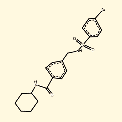 O=C(NC1CCCCC1)c1ccc(CNS(=O)(=O)c2ccc(Br)cc2)cc1